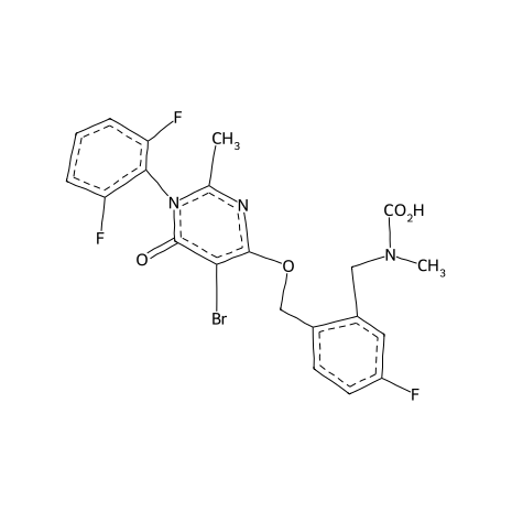 Cc1nc(OCc2ccc(F)cc2CN(C)C(=O)O)c(Br)c(=O)n1-c1c(F)cccc1F